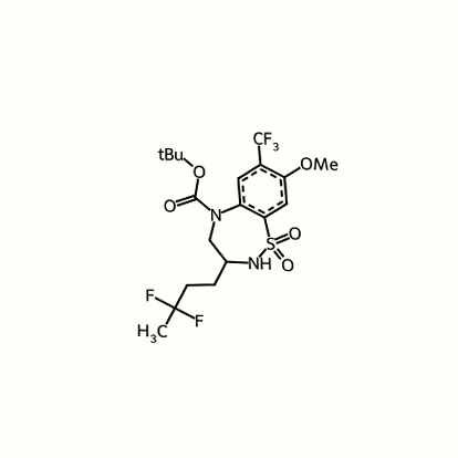 COc1cc2c(cc1C(F)(F)F)N(C(=O)OC(C)(C)C)CC(CCC(C)(F)F)NS2(=O)=O